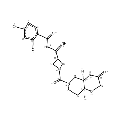 N=C(NC(=O)c1ccc(Cl)cc1Cl)C1CN(C(=O)N2CC[C@@H]3OCC(=O)N[C@@H]3C2)C1